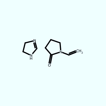 C1=NCCN1.C=CN1CCCC1=O